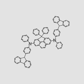 c1ccc(N(c2ccc(C3c4ccccc4-c4ccccc43)cc2)c2cc3c4c(ccc5cc(N(c6ccccc6)c6ccc(C7c8ccccc8-c8ccccc87)cc6)cc(c54)C3(c3ccccc3)c3ccccc3)c2)cc1